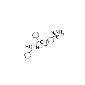 NS(=O)(=O)c1ccc(CCCN(CC(O)c2ccccc2)CC(O)c2ccccc2)cc1